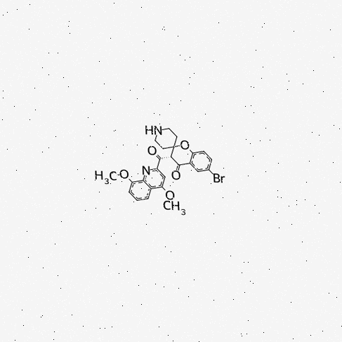 COc1cc(C(=O)[C@H]2C(=O)c3cc(Br)ccc3OC23CCNCC3)nc2c(OC)cccc12